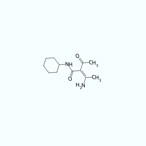 CC(=O)/C(C(=O)NC1CCCCC1)=C(\C)N